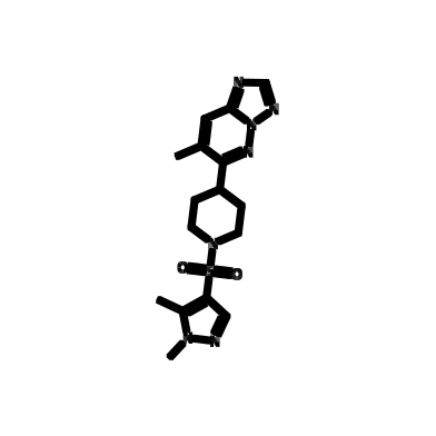 Cc1cc2ncnn2nc1C1CCN(S(=O)(=O)c2cnn(C)c2C)CC1